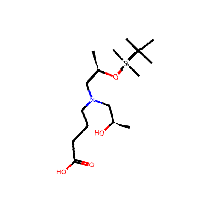 C[C@H](CN(CCCC(=O)O)C[C@@H](C)O)O[Si](C)(C)C(C)(C)C